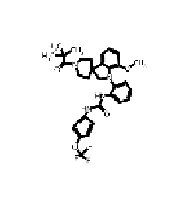 COc1cccc2c1N(c1ccccc1NC(=O)Nc1ccc(OC(F)(F)F)cc1)CC21CCN(C(=O)C(C)(C)C)CC1